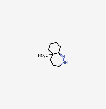 O=C(O)C12CCCCC1=NNCCC2